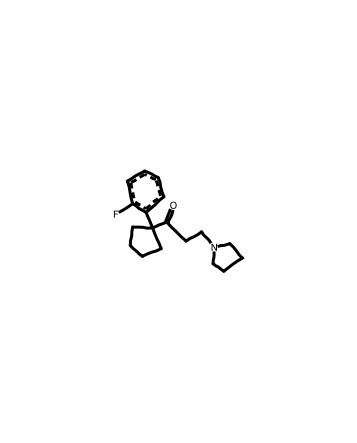 O=C(CCN1CCCC1)C1(c2ccccc2F)CCCC1